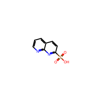 O=S(=O)(O)c1ccc2cccnc2n1